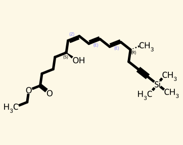 CCOC(=O)CCC[C@H](O)\C=C/C=C/C=C/[C@H](C)CC#C[Si](C)(C)C